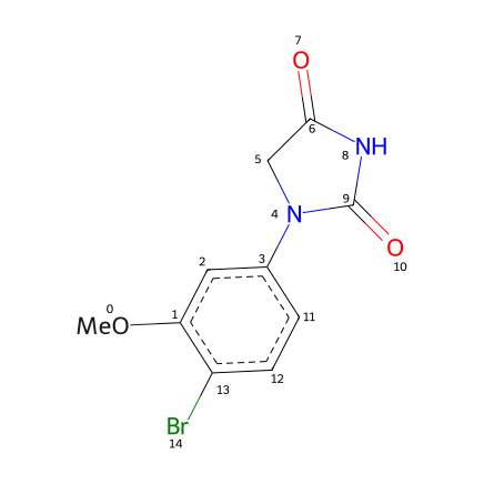 COc1cc(N2CC(=O)NC2=O)ccc1Br